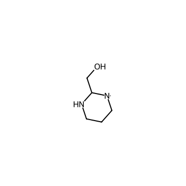 OCC1[N]CCCN1